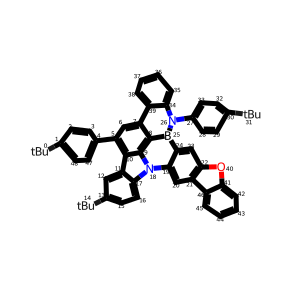 CC(C)(C)c1ccc(-c2cc3c4c5c2c2cc(C(C)(C)C)ccc2n5-c2cc5c(cc2B4N(c2ccc(C(C)(C)C)cc2)c2ccccc2-3)oc2ccccc25)cc1